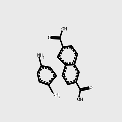 Nc1ccc(N)cc1.O=C(O)c1ccc2cc(C(=O)O)ccc2c1